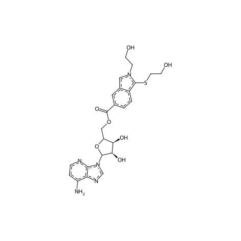 Nc1ccnc2c1ncn2C1OC(COC(=O)c2ccc3c(SCCO)n(CCO)cc3c2)[C@@H](O)[C@H]1O